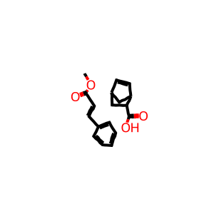 COC(=O)C=Cc1ccccc1.O=C(O)C1CC2C=CC1C2